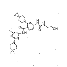 Cc1cc(NC(=O)c2ccc(NC(=O)NCCO)cc2N2CCC3(CC2)CC3)nc(N2CCC(F)(F)CC2)n1